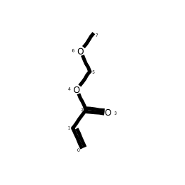 C=CC(=O)OCOC